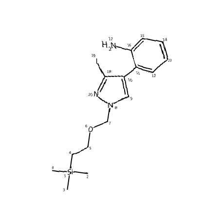 C[Si](C)(C)CCOCn1cc(-c2ccccc2N)c(I)n1